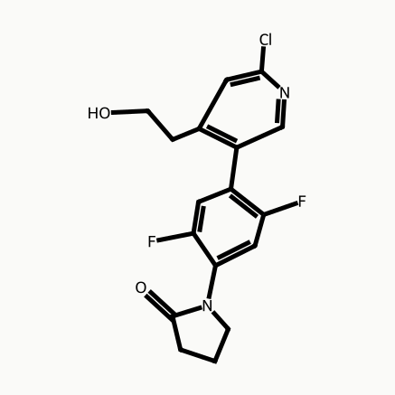 O=C1CCCN1c1cc(F)c(-c2cnc(Cl)cc2CCO)cc1F